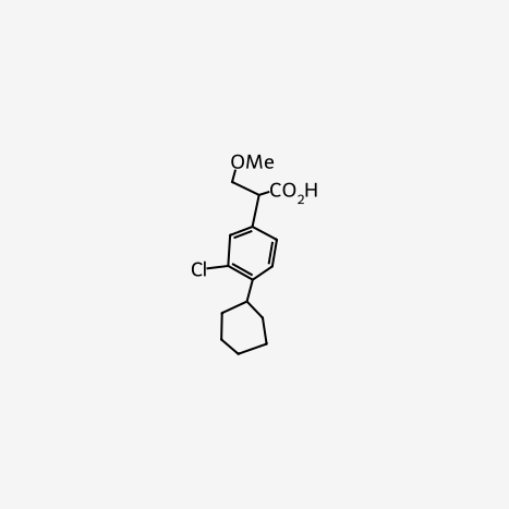 COCC(C(=O)O)c1ccc(C2CCCCC2)c(Cl)c1